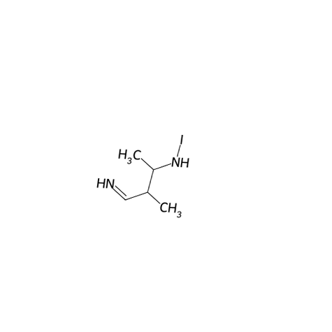 CC(C=N)C(C)NI